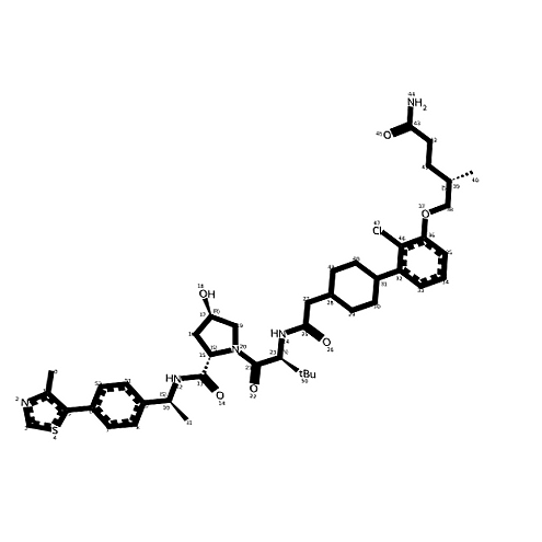 Cc1ncsc1-c1ccc([C@H](C)NC(=O)[C@@H]2C[C@@H](O)CN2C(=O)[C@@H](NC(=O)CC2CCC(c3cccc(OC[C@@H](C)CCC(N)=O)c3Cl)CC2)C(C)(C)C)cc1